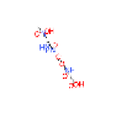 CCC(=O)N(O)CCCCC(NC)C(=O)NCCOCCOCCNC(=O)CCCC(=O)O